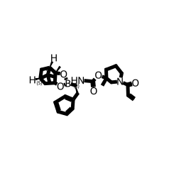 C=CC(=O)N1CCCC(C)(OC(=O)N[C@@H](Cc2ccccc2)B2OC3C[C@@H]4C[C@@H](C4(C)C)[C@]3(C)O2)C1